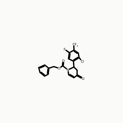 O=C1C=CN(C(=O)OCc2ccccc2)C(c2cc(F)c(C(F)(F)F)cc2Cl)C1